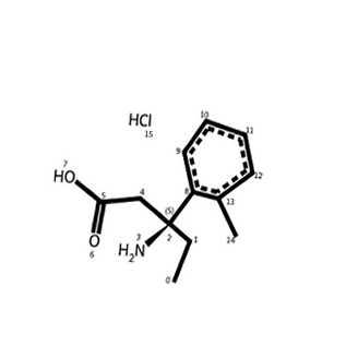 CC[C@](N)(CC(=O)O)c1ccccc1C.Cl